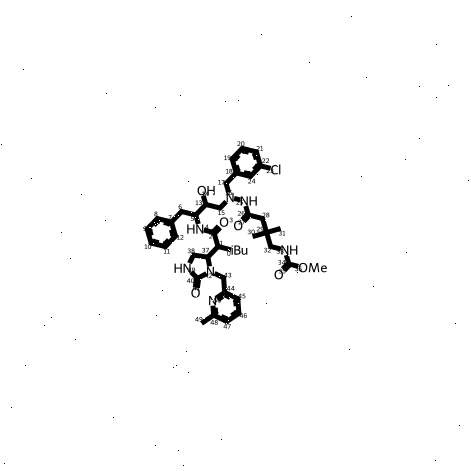 CCC(C)C(C(=O)NC(Cc1ccccc1)C(O)CN(Cc1cccc(Cl)c1)NC(=O)CC(C)(C)CNC(=O)OC)C1CNC(=O)N1Cc1cccc(C)n1